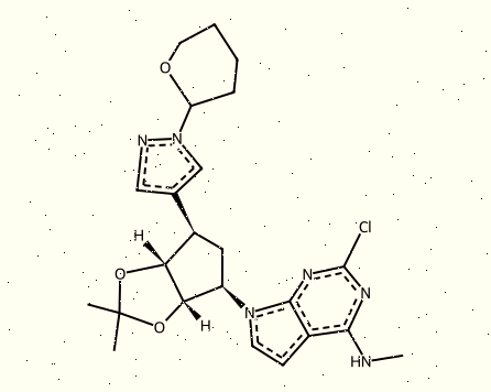 CNc1nc(Cl)nc2c1ccn2[C@@H]1C[C@H](c2cnn(C3CCCCO3)c2)[C@H]2OC(C)(C)O[C@H]21